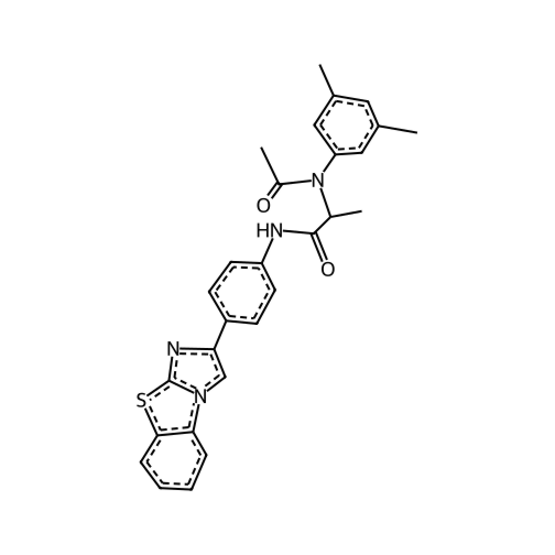 CC(=O)N(c1cc(C)cc(C)c1)C(C)C(=O)Nc1ccc(-c2cn3c(n2)sc2ccccc23)cc1